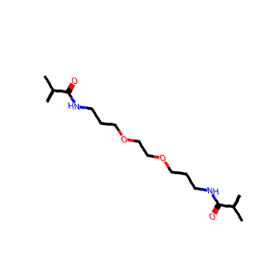 CC(C)C(=O)NCCCOCCOCCCNC(=O)C(C)C